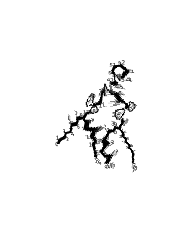 CCCCCCCCC(CCCCCCCC)COC(=O)CCN(CCC(=O)OCC(CCCCCCCC)CCCCCCCC)CCN1CCCCC1